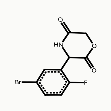 O=C1COC(=O)C(c2cc(Br)ccc2F)N1